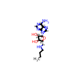 CCCCNC[C@H]1O[C@@H](n2cnc3c(N)ncnc32)[C@H](O)[C@@H]1O